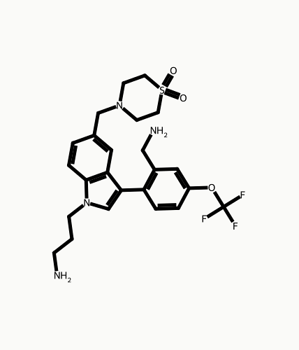 NCCCn1cc(-c2ccc(OC(F)(F)F)cc2CN)c2cc(CN3CCS(=O)(=O)CC3)ccc21